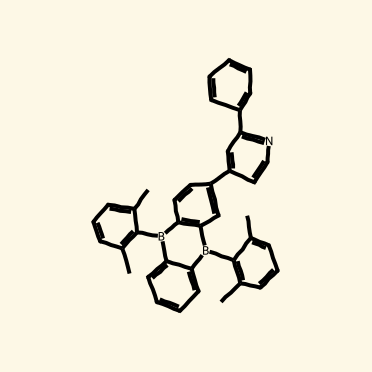 Cc1cccc(C)c1B1c2ccccc2B(c2c(C)cccc2C)c2cc(-c3ccnc(-c4ccccc4)c3)ccc21